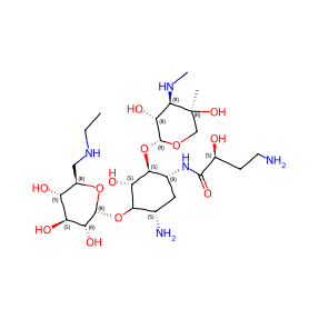 CCNC[C@H]1O[C@H](OC2[C@@H](N)C[C@@H](NC(=O)[C@@H](O)CCN)[C@H](O[C@H]3OC[C@](C)(O)[C@H](NC)[C@H]3O)[C@H]2O)[C@H](O)[C@@H](O)[C@@H]1O